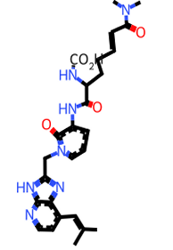 CC(C)=Cc1ccnc2[nH]c(Cn3cccc(NC(=O)C(CCC=CC(=O)N(C)C)NC(=O)O)c3=O)nc12